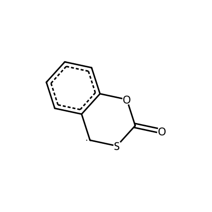 O=C1Oc2ccccc2[CH]S1